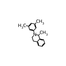 Cc1cc(C)cc(N2CCc3ccccc3[C@@H]2C)c1